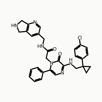 O=C(Cn1c(-c2ccccc2)cnc(NCC2(c3ccc(Cl)cc3)CC2)c1=O)NCc1cnc2c(c1)CNC2